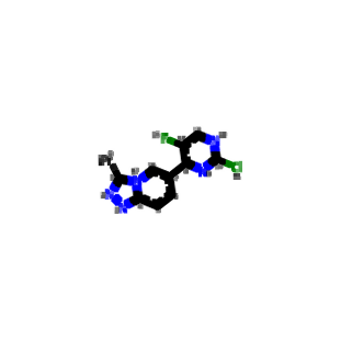 CC(C)c1nnc2ccc(-c3nc(Cl)ncc3F)cn12